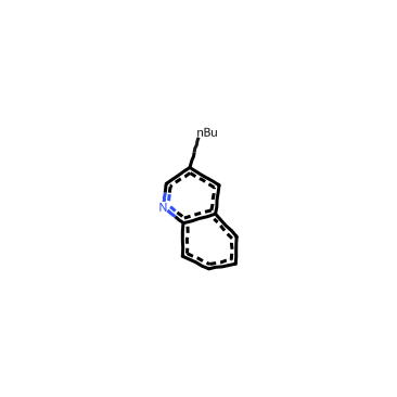 [CH2]CCCc1cnc2ccccc2c1